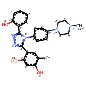 CC(C)c1cc(-c2nnc(-c3ccccc3O)n2-c2ccc(N3CCN(C)CC3)cc2)c(O)cc1O